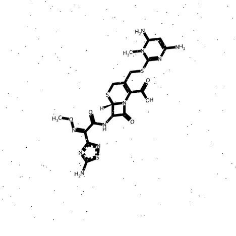 CO/N=C(\C(=O)NC1C(=O)N2C(C(=O)O)=C(CSC3=NC(N)=CC(N)N3C)CS[C@@H]12)c1nsc(N)n1